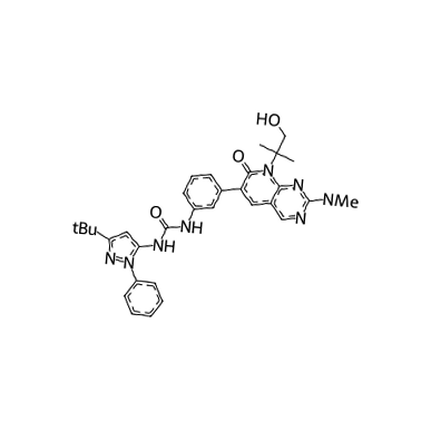 CNc1ncc2cc(-c3cccc(NC(=O)Nc4cc(C(C)(C)C)nn4-c4ccccc4)c3)c(=O)n(C(C)(C)CO)c2n1